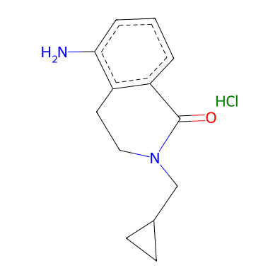 Cl.Nc1cccc2c1CCN(CC1CC1)C2=O